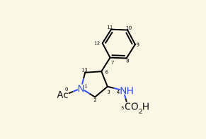 CC(=O)N1CC(NC(=O)O)C(c2ccccc2)C1